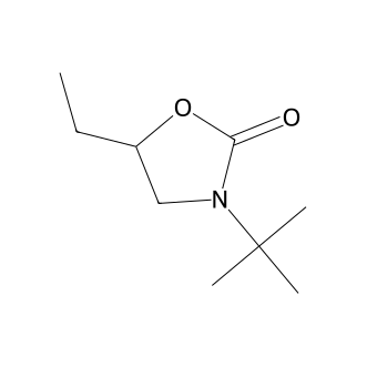 CCC1CN(C(C)(C)C)C(=O)O1